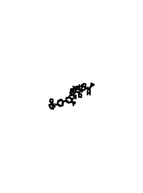 CS(=O)(=O)C(C(=O)NCC(=O)NC1CC1)c1nc2c(F)cc(-c3ccc(N4CCCC4=O)cc3)cc2s1